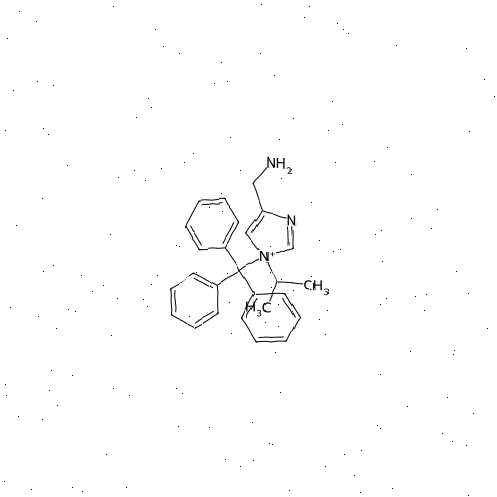 CC(C)[N+]1(C(c2ccccc2)(c2ccccc2)c2ccccc2)C=NC(CN)=C1